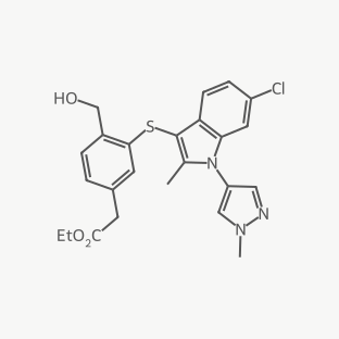 CCOC(=O)Cc1ccc(CO)c(Sc2c(C)n(-c3cnn(C)c3)c3cc(Cl)ccc23)c1